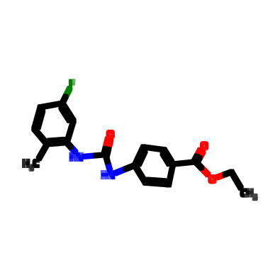 CCOC(=O)c1ccc(NC(=O)Nc2cc(F)ccc2C)cc1